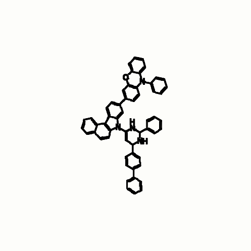 C1=C(n2c3cc(-c4ccc5c(c4)Oc4ccccc4N5c4ccccc4)ccc3c3c4ccccc4ccc32)NC(c2ccccc2)NC1c1ccc(-c2ccccc2)cc1